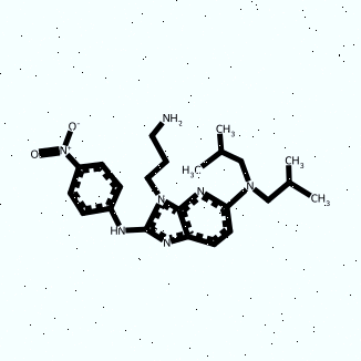 CC(C)CN(CC(C)C)c1ccc2nc(Nc3ccc([N+](=O)[O-])cc3)n(CCCN)c2n1